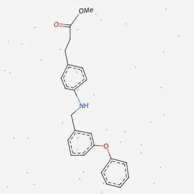 COC(=O)CCc1ccc(NCc2cccc(Oc3ccccc3)c2)cc1